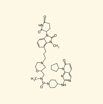 CN(CC1CN(CCCc2cccc3c2n(C)c(=O)n3C2CCC(=O)NC2=O)CCO1)[S+]([O-])N1CCC(Nc2ncc3ccc(=O)n(C4CCCC4)c3n2)CC1